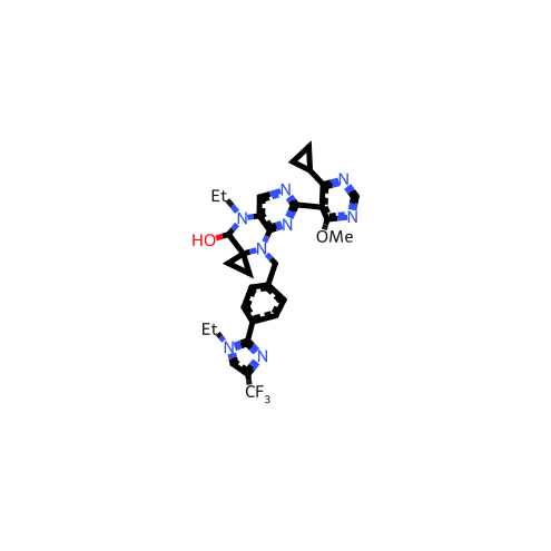 CCN1c2cnc(-c3c(OC)ncnc3C3CC3)nc2N(Cc2ccc(-c3nc(C(F)(F)F)cn3CC)cc2)C2(CC2)C1O